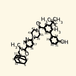 CN(CC12CC3CC(CC(C3)C1)C2)C(=O)c1ccc(N2CCN(C(=O)c3cc(-c4cccc(O)c4)cc(C(C)(C)C)c3)CC2)nn1